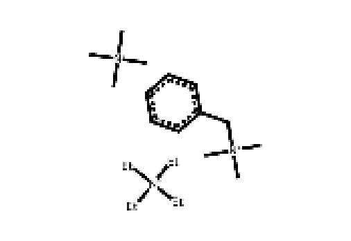 CC[N+](CC)(CC)CC.C[N+](C)(C)C.C[N+](C)(C)Cc1ccccc1